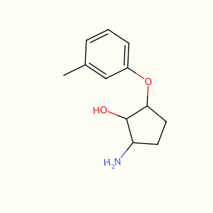 Cc1cccc(OC2CCC(N)C2O)c1